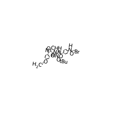 C=CCOc1ccc(-c2noc(C)c2C(=O)/N=C(/NCc2ccc(NC(=O)CBr)cc2)NC(=O)OC(C)(C)C)cc1